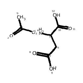 CC(=O)Cl.NC(CC(=O)O)C(=O)O